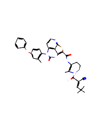 CC1=C(NC(=O)c2sc3nccc4c3c2NC(=O)N4c2ccc(Oc3ccccc3)cc2C)CCCN1C(=O)/C(C#N)=C/C(C)(C)C